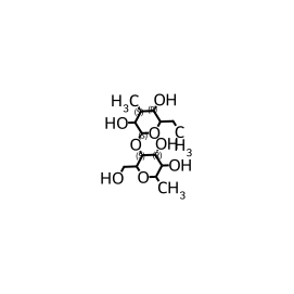 CCC1O[C@@H](O[C@@H]2C(CO)OC(C)C(O)[C@H]2O)C(O)[C@@H](C)[C@H]1O